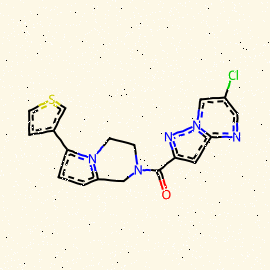 O=C(c1cc2ncc(Cl)cn2n1)N1CCn2c(ccc2-c2ccsc2)C1